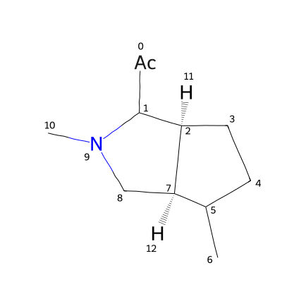 CC(=O)C1[C@H]2CCC(C)[C@H]2CN1C